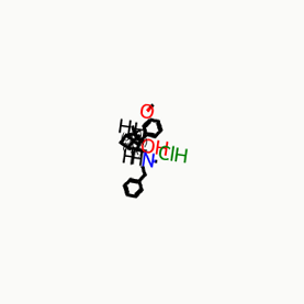 COc1cccc([C@@]2(O)[C@@H](C)[C@@H]3C[C@H]([C@@H]2CN(C)CCc2ccccc2)C3(C)C)c1.Cl